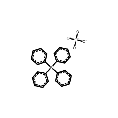 [O-][Cl+3]([O-])([O-])[O-].c1ccc([P+](c2ccccc2)(c2ccccc2)c2ccccc2)cc1